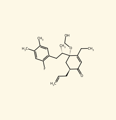 C=CC[C@H]1C[C@@](OCO)([C@@H](C)Cc2cc(C)c(C)cc2F)C(CC)=CC1=O